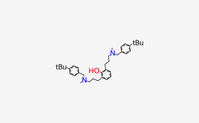 CN(CCCc1cccc(CCCN(C)Cc2ccc(C(C)(C)C)cc2)c1O)Cc1ccc(C(C)(C)C)cc1